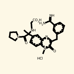 Cl.Cn1c(=O)c(Cc2cccc(C(=N)N)c2)nc2cc(C(C)(NCC(=O)O)C(=O)N3CCCC3)ccc21